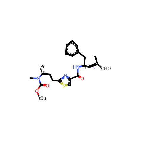 C/C(C=O)=C\[C@H](Cc1ccccc1)NC(=O)c1csc(CC[C@H](C(C)C)N(C)C(=O)OC(C)(C)C)n1